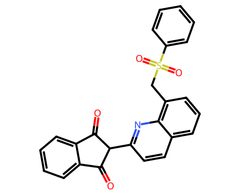 O=C1c2ccccc2C(=O)C1c1ccc2cccc(CS(=O)(=O)c3ccccc3)c2n1